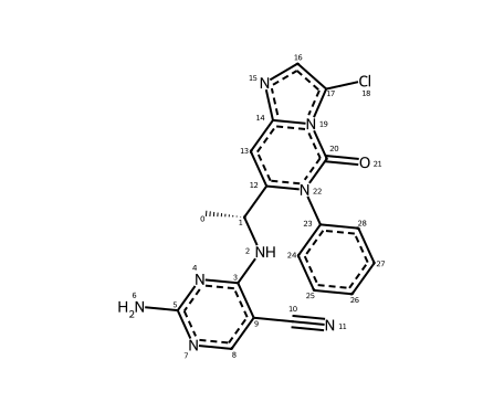 C[C@@H](Nc1nc(N)ncc1C#N)c1cc2ncc(Cl)n2c(=O)n1-c1ccccc1